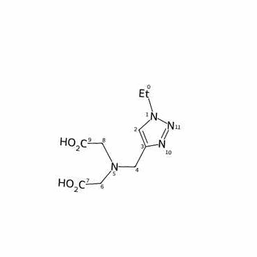 CCn1cc(CN(CC(=O)O)CC(=O)O)nn1